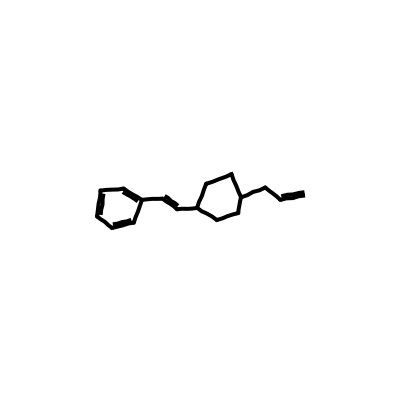 C=CCC1CCC(C=Cc2ccccc2)CC1